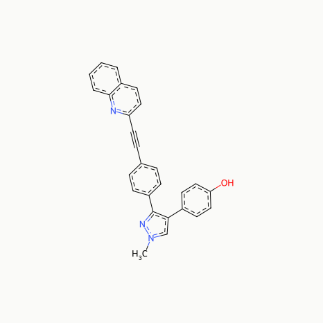 Cn1cc(-c2ccc(O)cc2)c(-c2ccc(C#Cc3ccc4ccccc4n3)cc2)n1